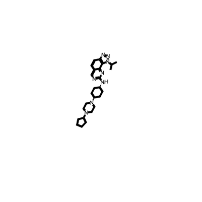 CC(C)n1nnc2ccc3cnc(N[C@H]4CC[C@H](N5CCN(C6CCCC6)CC5)CC4)nc3c21